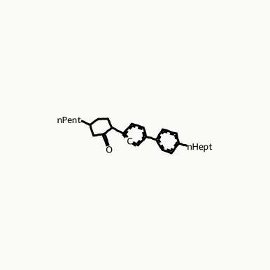 CCCCCCCc1ccc(-c2ccc(C3CCC(CCCCC)CC3=O)cc2)cc1